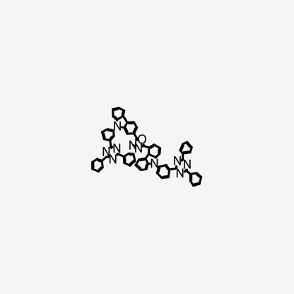 C1=CC2C(C(c3nnc(-c4ccc5c6ccccc6n(-c6cccc(-c7nc(-c8ccccc8)nc(-c8ccccc8)n7)c6)c5c4)o3)=C1)c1ccccc1N2c1cccc(-c2nc(-c3ccccc3)nc(-c3ccccc3)n2)c1